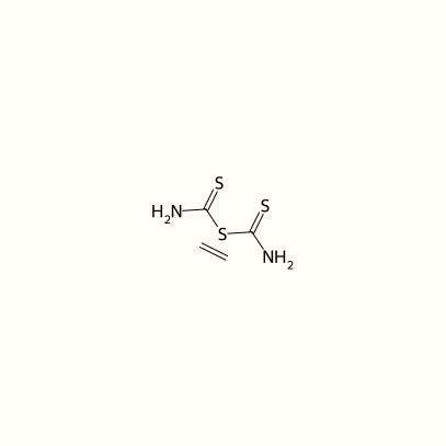 C=C.NC(=S)SC(N)=S